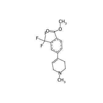 COC(=O)c1ccc(C2=CCN(C)CC2)cc1C(F)(F)F